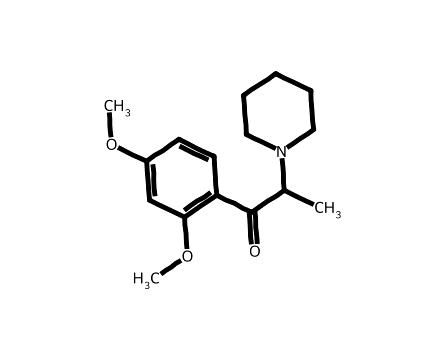 COc1ccc(C(=O)C(C)N2CCCCC2)c(OC)c1